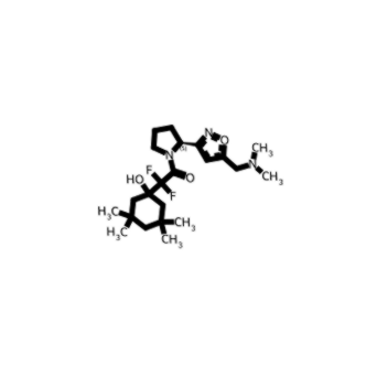 CN(C)Cc1cc([C@@H]2CCCN2C(=O)C(F)(F)C2(O)CC(C)(C)CC(C)(C)C2)no1